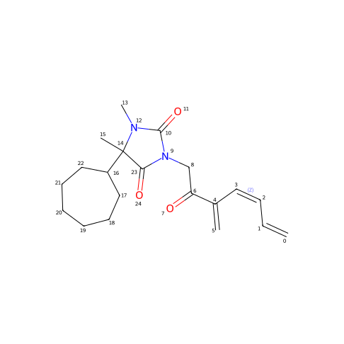 C=C/C=C\C(=C)C(=O)CN1C(=O)N(C)C(C)(C2CCCCCC2)C1=O